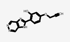 C#CCOc1ccc(-c2nc3cnncc3[nH]2)c(O)c1